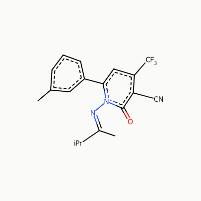 CC(=Nn1c(-c2cccc(C)c2)cc(C(F)(F)F)c(C#N)c1=O)C(C)C